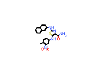 Cc1ccc(Nc2sc(Nc3ccc4ccccc4c3)nc2C(N)=O)cc1[N+](=O)[O-]